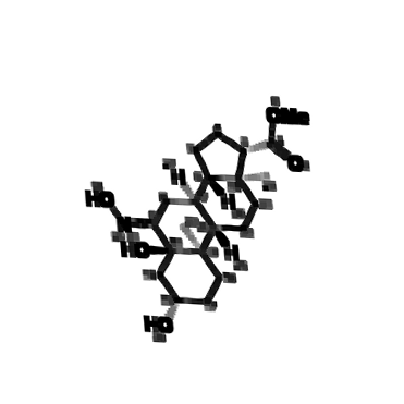 COC(=O)[C@H]1CC[C@H]2[C@@H]3C/C(=N\O)[C@@]4(O)C[C@@H](O)CC[C@]4(C)[C@H]3CC[C@]12C